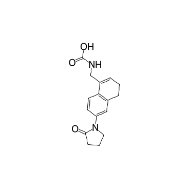 O=C(O)NCC1=CCCc2cc(N3CCCC3=O)ccc21